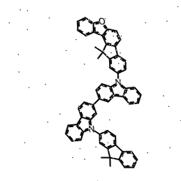 CC1(C)c2ccccc2-c2ccc(-n3c4ccccc4c4ccc(-c5ccc6c(c5)c5ccccc5n6-c5ccc6c(c5)C(C)(C)c5c-6ccc6oc7ccccc7c56)cc43)cc21